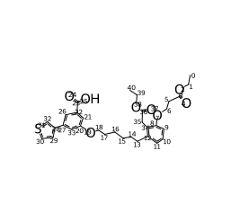 CCOC(=O)CCOc1cccc(CCCCCCOc2cc(C(=O)O)cc(-c3ccsc3)c2)c1CC(=O)OCC